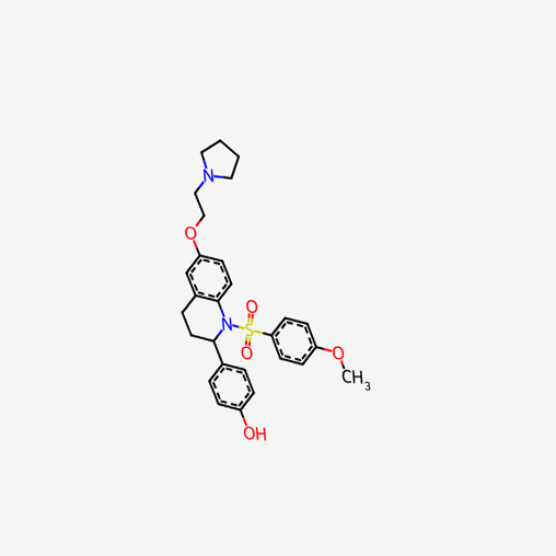 COc1ccc(S(=O)(=O)N2c3ccc(OCCN4CCCC4)cc3CCC2c2ccc(O)cc2)cc1